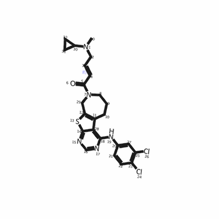 CN(C/C=C/C(=O)N1CCCc2c(sc3ncnc(Nc4ccc(Cl)c(Cl)c4)c23)C1)C1CC1